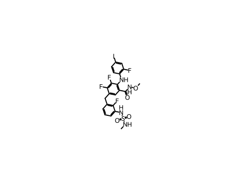 CNS(=O)(=O)Nc1cccc(Cc2cc(C(=O)NOC)c(Nc3ccc(I)cc3F)c(F)c2F)c1F